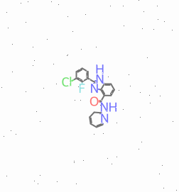 O=C(NC1=NC=CC=CC1)c1cccc2[nH]c(-c3cccc(Cl)c3F)nc12